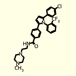 CN1CCN(CCNC(=O)c2ccc(-c3ccc(-c4ccc(Cl)cc4)n3-c3ccccc3C(F)(F)F)cc2)CC1